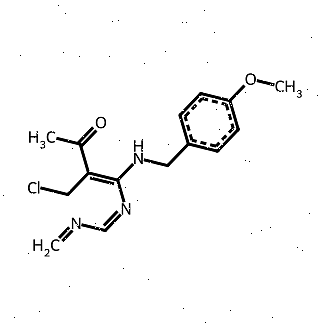 C=N/C=N\C(NCc1ccc(OC)cc1)=C(/CCl)C(C)=O